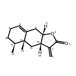 C=C1C(=O)O[C@H]2CC3=CCC[C@H](C)[C@@]3(C)C[C@@H]12